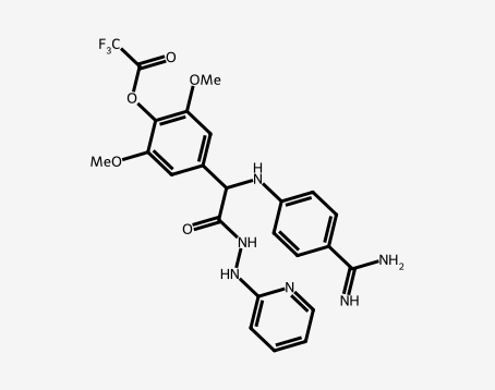 COc1cc(C(Nc2ccc(C(=N)N)cc2)C(=O)NNc2ccccn2)cc(OC)c1OC(=O)C(F)(F)F